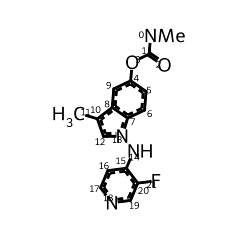 CNC(=O)Oc1ccc2c(c1)c(C)cn2Nc1ccncc1F